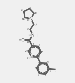 Cc1cccc(-c2ccc(C(=O)NCCN3CCCC3)cn2)c1